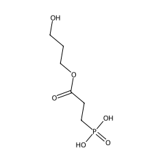 O=C(CCP(=O)(O)O)OCCCO